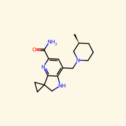 C[C@H]1CCCN(Cc2cc(C(N)=O)nc3c2NCC32CC2)C1